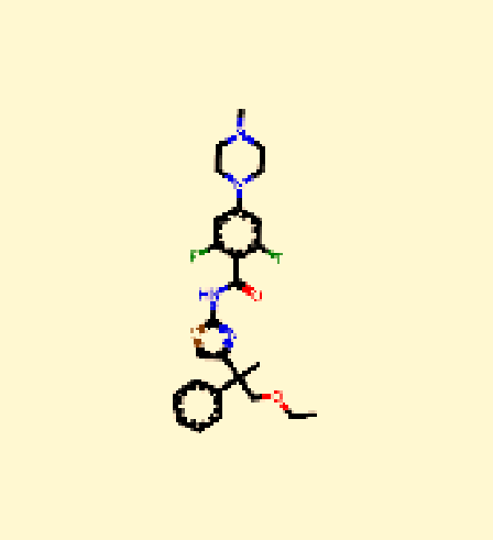 CCOCC(C)(c1ccccc1)c1csc(NC(=O)c2c(F)cc(N3CCN(C)CC3)cc2F)n1